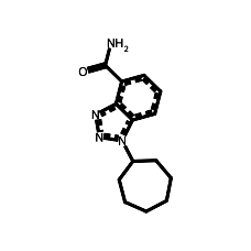 NC(=O)c1cccc2c1nnn2C1CCCCCC1